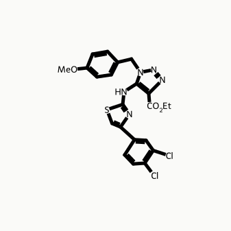 CCOC(=O)c1nnn(Cc2ccc(OC)cc2)c1Nc1nc(-c2ccc(Cl)c(Cl)c2)cs1